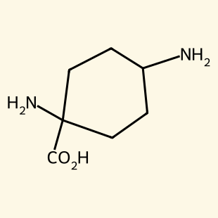 NC1CCC(N)(C(=O)O)CC1